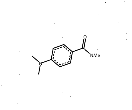 CNC(=O)c1ccc(N(C)C)cc1